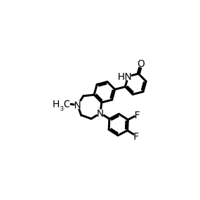 CN1CCN(c2ccc(F)c(F)c2)c2cc(-c3cccc(=O)[nH]3)ccc2C1